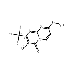 CSc1ccn2c(=O)c(C)c(C(F)(F)F)nc2c1